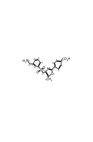 Cc1oc(-c2ccc(C(=O)O)cc2)nc1CS(=O)(=O)c1cccc(CN)c1